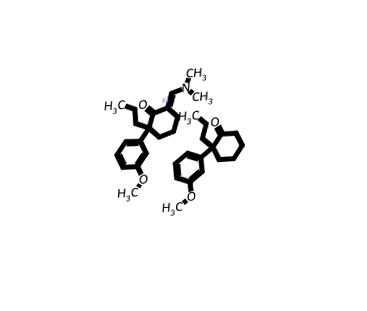 CCCC1(c2cccc(OC)c2)CCC/C(=C\N(C)C)C1=O.CCCC1(c2cccc(OC)c2)CCCCC1=O